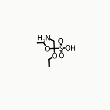 CCOC(CN)(OCC)S(=O)(=O)O